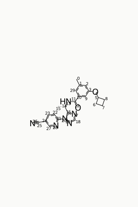 Cc1cc(OC2CCC2)cc(C(=O)N[C@@H](C)c2ncnn2-c2ccc(C#N)cn2)c1